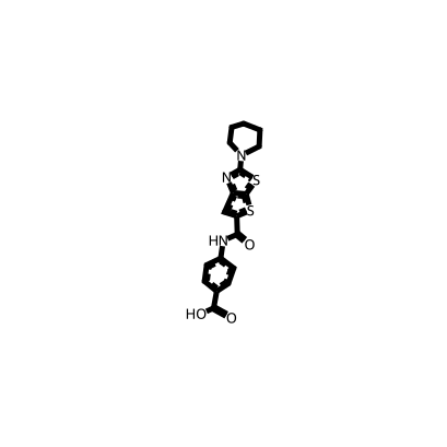 O=C(O)c1ccc(NC(=O)c2cc3nc(N4CCCCC4)sc3s2)cc1